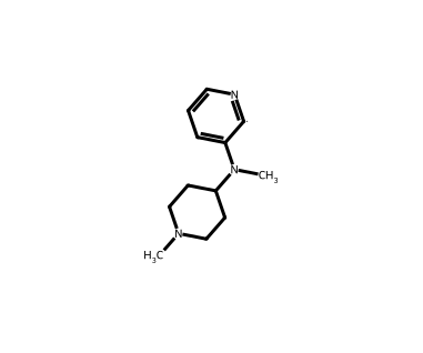 CN1CCC(N(C)c2[c]nccc2)CC1